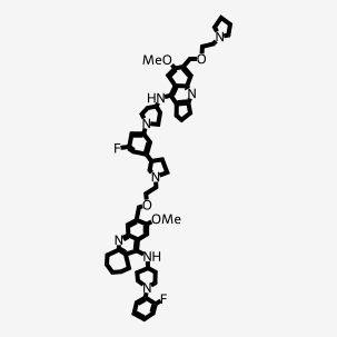 COc1cc2c(NC3CCN(c4cc(F)cc(C5CCN(CCOCc6cc7nc8c(c(NC9CCN(c%10ccccc%10F)CC9)c7cc6OC)CCCCC8)C5)c4)CC3)c3c(nc2cc1COCCN1CCCC1)CCC3